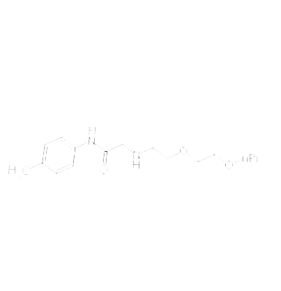 CCCOCCOCCNCC(=O)Nc1ccc(C)cc1